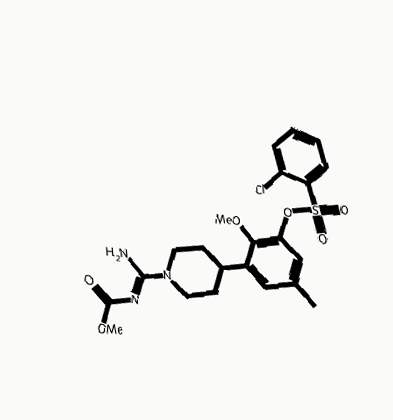 COC(=O)N=C(N)N1CCC(c2cc(C)cc(OS(=O)(=O)c3ccccc3Cl)c2OC)CC1